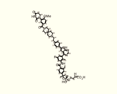 COc1ccc(C(=O)N2CCC3(CCN(CCc4ccc(-c5cc6c(-c7cc(F)cc(NC(=O)c8ccc(C(C)(C)OP(=O)(O)OCCNC(=O)O)cc8F)c7C)ncnc6[nH]5)cc4)CC3)CC2)cc1N1CCC(=O)NC1=O